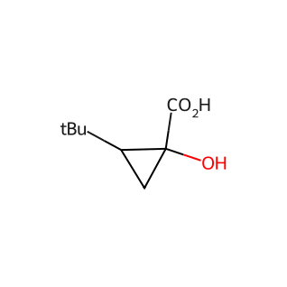 CC(C)(C)C1CC1(O)C(=O)O